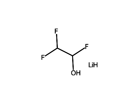 OC(F)C(F)F.[LiH]